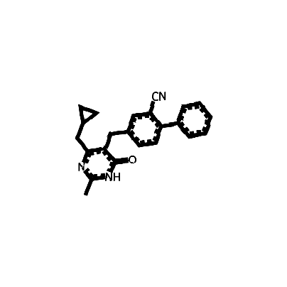 Cc1nc(CC2CC2)c(Cc2ccc(-c3ccccc3)c(C#N)c2)c(=O)[nH]1